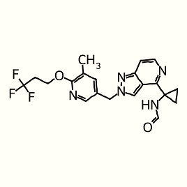 Cc1cc(Cn2cc3c(C4(NC=O)CC4)nccc3n2)cnc1OCCC(F)(F)F